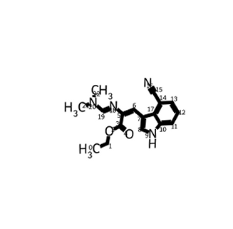 CCOC(=O)C(=C\c1c[nH]c2cccc(C#N)c12)/N=C/N(C)C